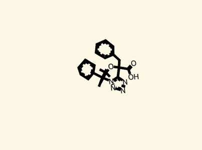 CC(C)(C)OC(Cc1ccccc1)(C(=O)O)c1nnnn1C(C)(C)c1ccccc1